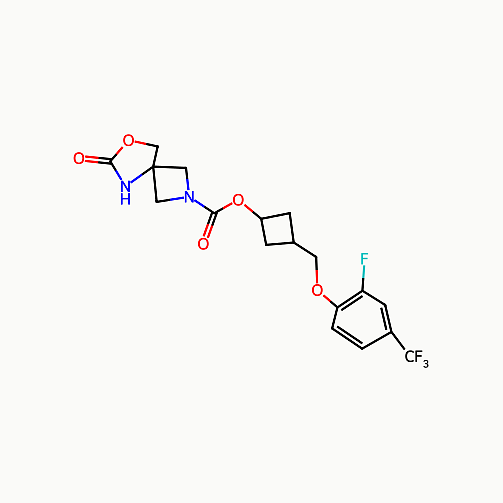 O=C1NC2(CO1)CN(C(=O)OC1CC(COc3ccc(C(F)(F)F)cc3F)C1)C2